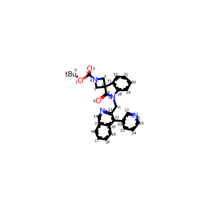 CC(C)(C)OC(=O)N1CC2(C1)C(=O)N(Cc1ncc3ccccc3c1-c1cccnc1)c1ccccc12